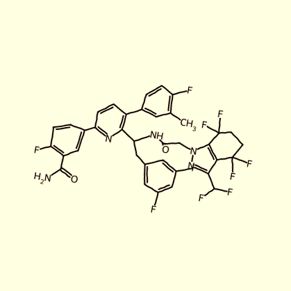 Cc1cc(-c2ccc(-c3ccc(F)c(C(N)=O)c3)nc2C(Cc2cc(F)cc(F)c2)NC(=O)Cn2nc(C(F)F)c3c2C(F)(F)CCC3(F)F)ccc1F